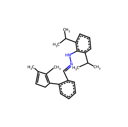 CC1=CCC(c2ccccc2C=NNc2c(C(C)C)cccc2C(C)C)=C1C